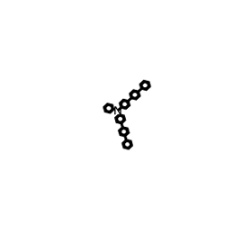 c1ccc(-c2ccc(-c3ccc(N(c4ccccc4)c4ccc(-c5ccc(-c6ccccc6)cc5)cc4)cc3)cc2)cc1